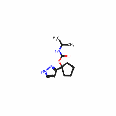 CC(C)NC(=O)OC1(c2cc[nH]n2)CCCC1